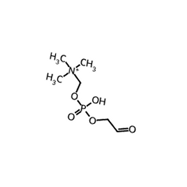 C[N+](C)(C)COP(=O)(O)OCC=O